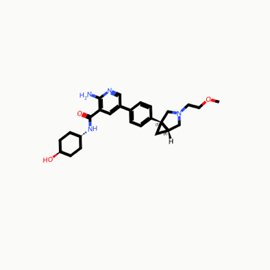 COCCN1C[C@@H]2C[C@]2(c2ccc(-c3cnc(N)c(C(=O)N[C@H]4CC[C@H](O)CC4)c3)cc2)C1